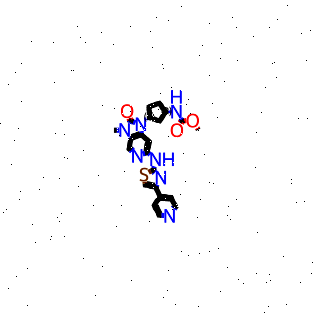 COC(=O)N[C@@H]1CC[C@@H](n2c(=O)n(C)c3cnc(Nc4nc(-c5ccncc5)cs4)cc32)C1